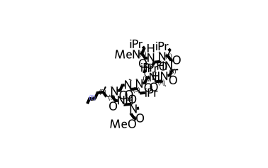 C/C=C/C[C@@H](C)C[C@@H](C(=O)NCC(=O)N(C)CC(=O)OC)N(C)C(=O)CN(C)C(=O)[C@H](CC(C)C)N(C)C(=O)[C@H](CC(C)C)N(C)C(=O)[C@@H](C)NC(=O)[C@H](C)NC(=O)[C@H](CC(C)C)N(C)C(=O)C(NC(=O)[C@H](CC(C)C)NC)C(C)C